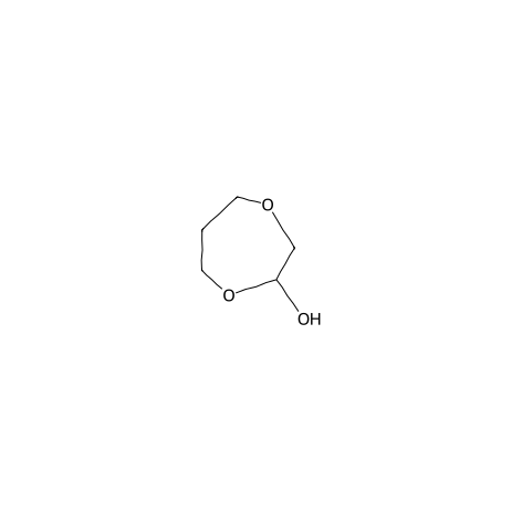 OC1COCCCO1